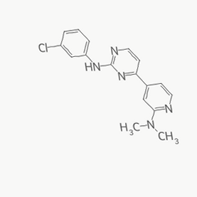 CN(C)c1cc(-c2ccnc(Nc3cccc(Cl)c3)n2)ccn1